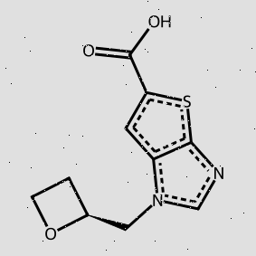 O=C(O)c1cc2c(ncn2C[C@@H]2CCO2)s1